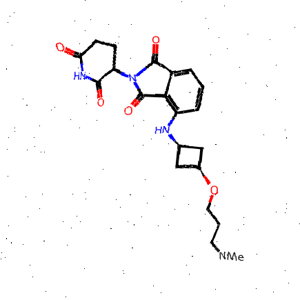 CNCCCO[C@H]1C[C@@H](Nc2cccc3c2C(=O)N(C2CCC(=O)NC2=O)C3=O)C1